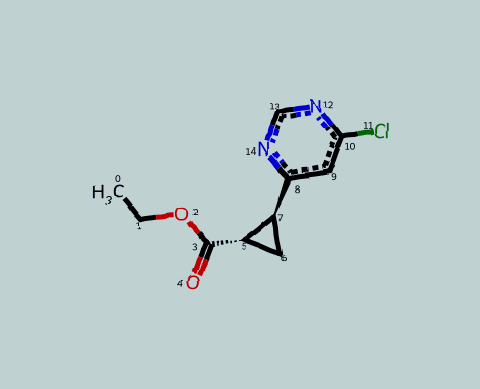 CCOC(=O)[C@H]1C[C@@H]1c1cc(Cl)ncn1